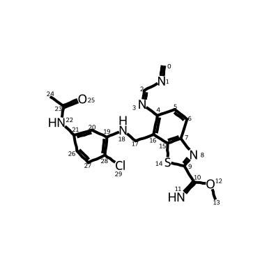 C=N/C=N\c1ccc2nc(C(=N)OC)sc2c1CNc1cc(NC(C)=O)ccc1Cl